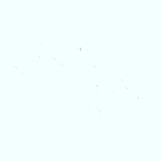 CN1CCN(C(=O)CN/N=C(\C=N)c2cc(F)c(OCc3nnc(SC4C=CCCC4)n3-c3cccnc3)cc2F)CC1